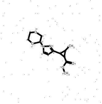 COC(=O)C1C(C)C1c1ccn(C2COCCO2)n1